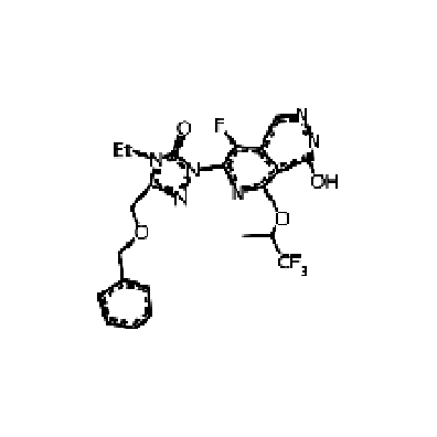 CCn1c(COCc2ccccc2)nn(-c2nc(OC(C)C(F)(F)F)c3c(O)nncc3c2F)c1=O